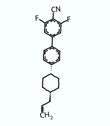 C=CC[C@H]1CC[C@H](c2ccc(-c3cc(F)c(C#N)c(F)c3)cc2)CC1